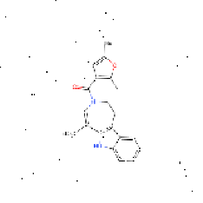 CCOC(=O)C1=CN(C(=O)c2cc(C(C)(C)C)oc2C)CCc2c1[nH]c1ccccc21